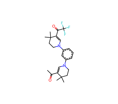 CC(=O)C1=CN(c2cccc(N3C=C(C(=O)C(F)(F)F)C(C)(C)CC3)c2)CCC1(C)C